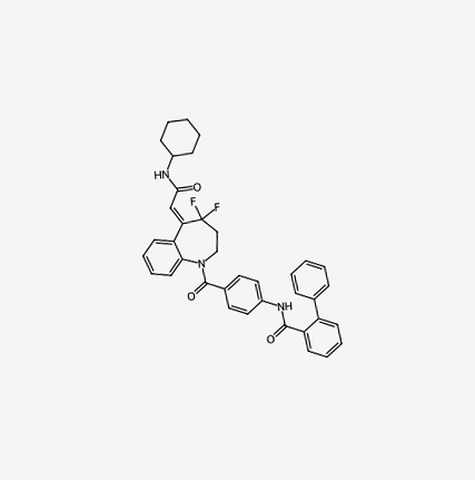 O=C(/C=C1/c2ccccc2N(C(=O)c2ccc(NC(=O)c3ccccc3-c3ccccc3)cc2)CCC1(F)F)NC1CCCCC1